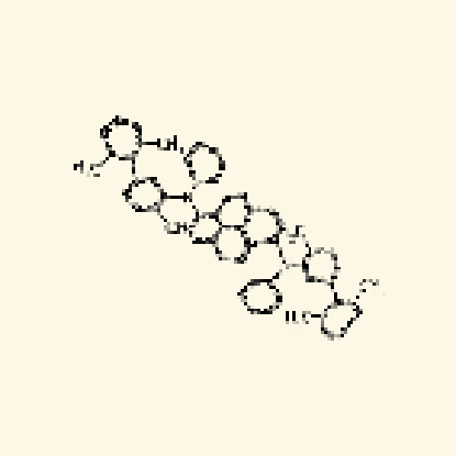 Cc1ccc(-c2c(C)cccc2C)cc1N(c1ccccc1)c1ccc2ccc3c(N(c4ccccc4)c4cc(-c5c(C)cccc5C)ccc4C)ccc4ccc1c2c43